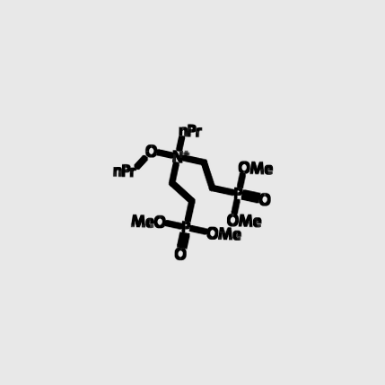 CCCO[N+](CCC)(CCP(=O)(OC)OC)CCP(=O)(OC)OC